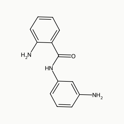 Nc1cccc(NC(=O)c2ccccc2N)c1